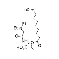 CCCCCCCCCCCCCCCCCC(=O)OC(C)C(=O)O.CCN(CC)CC(N)=O